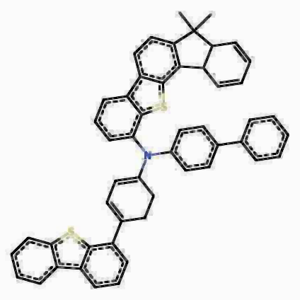 CC1(C)c2ccc3c(sc4c(N(C5=CC=C(c6cccc7c6sc6ccccc67)CC5)c5ccc(-c6ccccc6)cc5)cccc43)c2C2C=CC=CC21